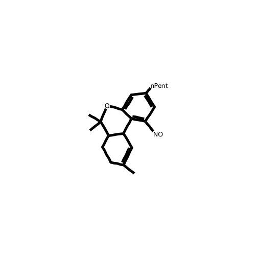 CCCCCc1cc(N=O)c2c(c1)OC(C)(C)C1CCC(C)=CC21